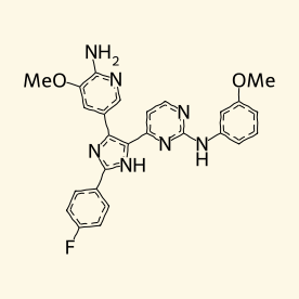 COc1cccc(Nc2nccc(-c3[nH]c(-c4ccc(F)cc4)nc3-c3cnc(N)c(OC)c3)n2)c1